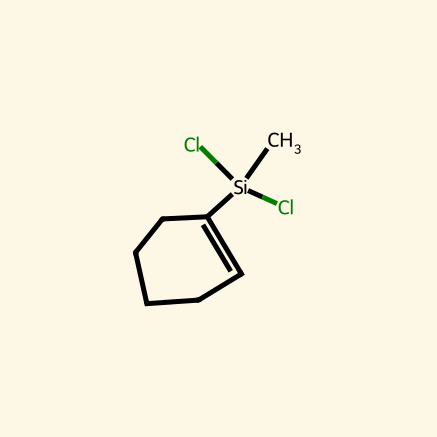 C[Si](Cl)(Cl)C1=CCCCC1